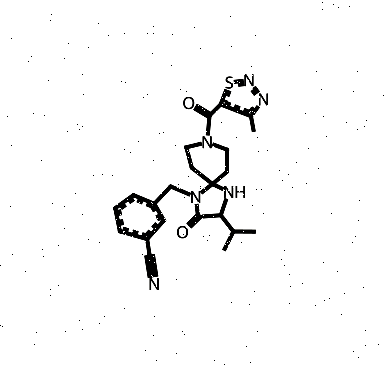 Cc1nnsc1C(=O)N1CCC2(CC1)NC(C(C)C)C(=O)N2Cc1cccc(C#N)c1